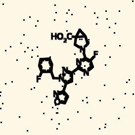 O=C(O)C12CC1CN(c1nc(-c3cc(-c4ccon4)n(Cc4ccccc4F)n3)ncc1F)C2